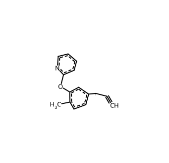 C#C[CH]c1ccc(C)c(Oc2ccccn2)c1